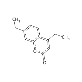 CCc1ccc2c(CC)cc(=O)oc2c1